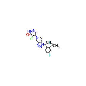 CC(F)c1cc(F)ccc1[C@@H](C)n1nnc2c1CCN(c1cn[nH]c(=O)c1Cl)C2